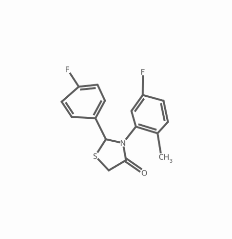 Cc1ccc(F)cc1N1C(=O)CSC1c1ccc(F)cc1